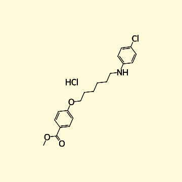 COC(=O)c1ccc(OCCCCCCNc2ccc(Cl)cc2)cc1.Cl